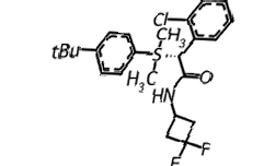 CC(C)(C)c1ccc(S(C)(C)[C@@H](C(=O)NC2CC(F)(F)C2)c2ccccc2Cl)cc1